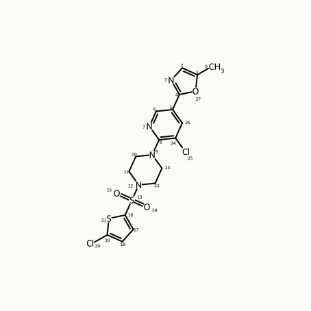 Cc1cnc(-c2cnc(N3CCN(S(=O)(=O)c4ccc(Cl)s4)CC3)c(Cl)c2)o1